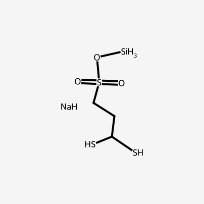 O=S(=O)(CCC(S)S)O[SiH3].[NaH]